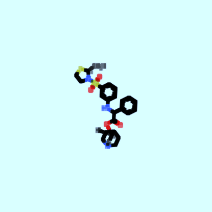 O=C(O[C@H]1CN2CCC1CC2)C(Nc1cccc(S(=O)(=O)N2CCS[C@H]2C(=O)O)c1)c1ccccc1